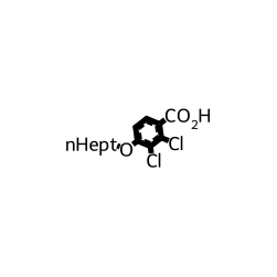 CCCCCCCOc1ccc(C(=O)O)c(Cl)c1Cl